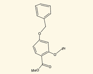 COC(=O)c1ccc(OCc2ccccc2)cc1OC(C)C